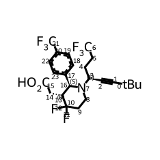 CC(C)(C)C#C[C@H](CCC(F)(F)F)N1CCC(F)(F)[C@H](CC(=O)O)[C@H]1c1ccc(C(F)(F)F)cc1